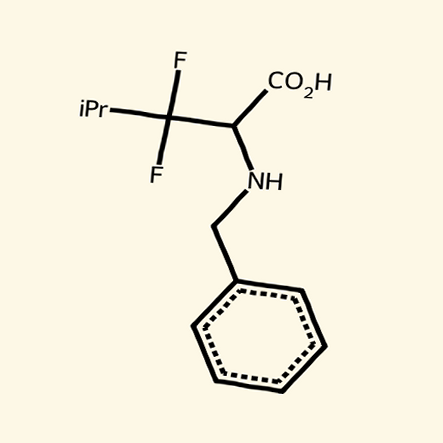 CC(C)C(F)(F)C(NCc1ccccc1)C(=O)O